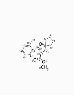 COC(=O)[C@@H]1OC2(CCCC2)O[C@H]1c1ccccc1I